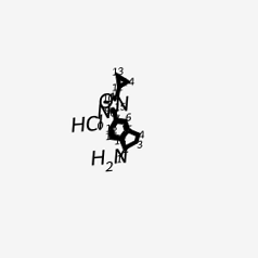 Cl.N[C@@H]1CCc2cc(-c3noc(C4CC4)n3)ccc21